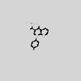 CC(C)NC(=O)c1cn(-c2ccc(F)cc2)c2ncccc2c1=O